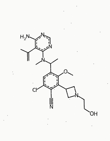 C=C(C)c1c(N)ncnc1N(C)C(C)c1cc(Cl)c(C#N)c(C2CN(CCO)C2)c1OC